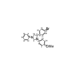 COc1ccc(N2CN(c3ccccc3)CC2c2ccc(Br)cc2)cc1